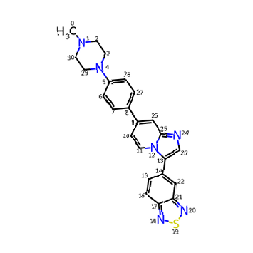 CN1CCN(c2ccc(-c3ccn4c(-c5ccc6nsnc6c5)cnc4c3)cc2)CC1